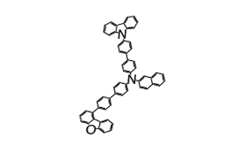 c1ccc2cc(N(c3ccc(-c4ccc(-c5cccc6oc7ccccc7c56)cc4)cc3)c3ccc(-c4ccc(-n5c6ccccc6c6ccccc65)cc4)cc3)ccc2c1